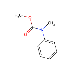 COC(=O)N(C)c1cc[c]cc1